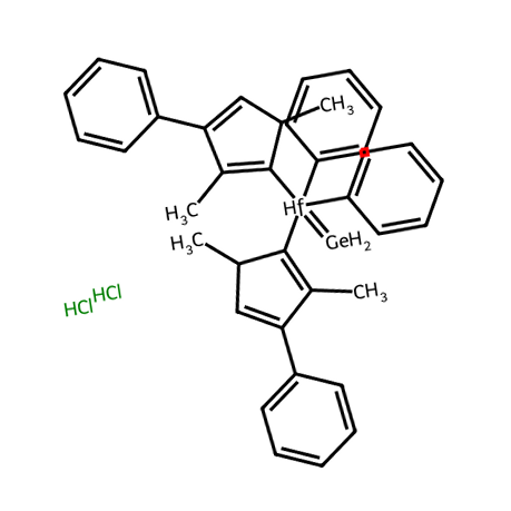 CC1=[C]([Hf](=[GeH2])([C]2=C(C)C(c3ccccc3)=CC2C)([c]2ccccc2)[c]2ccccc2)C(C)C=C1c1ccccc1.Cl.Cl